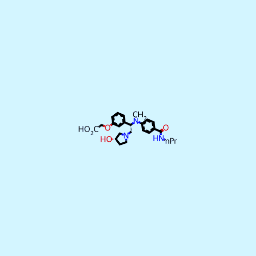 CCCNC(=O)c1ccc(N(C)[C@H](CN2CC[C@H](O)C2)c2cccc(OCC(=O)O)c2)cc1